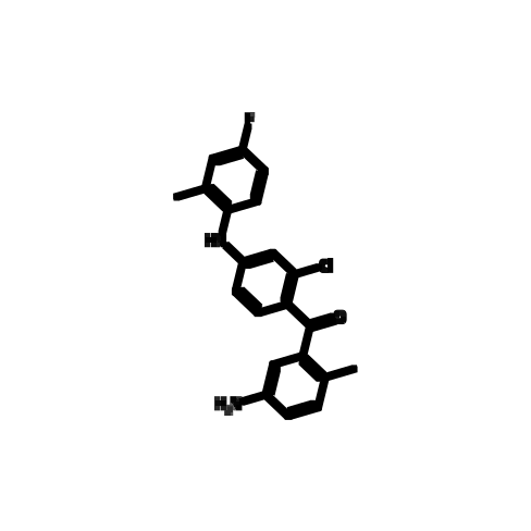 Cc1cc(F)ccc1Nc1ccc(C(=O)c2cc(N)ccc2C)c(Cl)c1